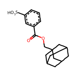 O=C(OCC12CC3CC(CC(C3)C1)C2)c1cccc(S(=O)(=O)O)c1